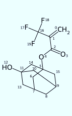 C=C(C(=O)OC12CC3CC(CC(O)(C3)C1)C2)C(F)(F)F